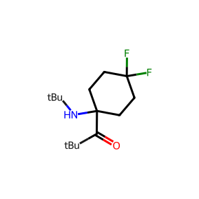 CC(C)(C)NC1(C(=O)C(C)(C)C)CCC(F)(F)CC1